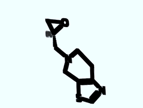 c1nc2c(s1)CN(C[C@@H]1CO1)CC2